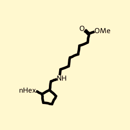 CCCCCCC1CCCC1CNCCCCCCC(=O)OC